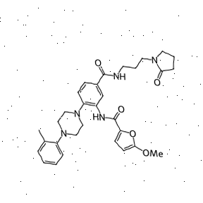 COc1ccc(C(=O)Nc2cc(C(=O)NCCCN3CCCC3=O)ccc2N2CCN(c3ccccc3C)CC2)o1